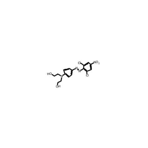 O=[N+]([O-])c1cc(Cl)c(N=Nc2ccc(N(CCO)CCO)cc2)c(Cl)c1